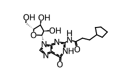 O=C(CCC1CCCC1)Nc1nc2c(ncn2[C@@H]2O[C@H](CO)[C@@H](O)[C@H]2O)c(=O)[nH]1